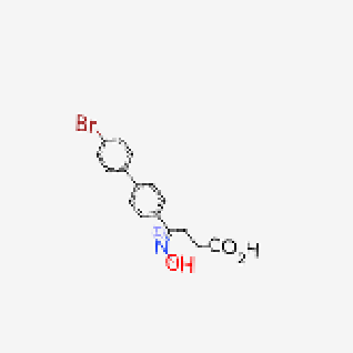 O=C(O)CC/C(=N\O)c1ccc(-c2ccc(Br)cc2)cc1